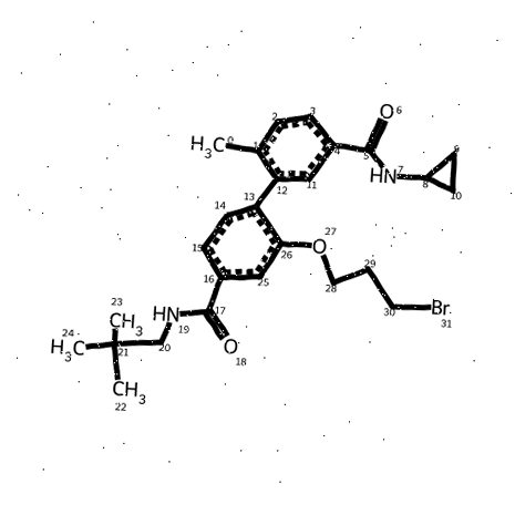 Cc1ccc(C(=O)NC2CC2)cc1-c1ccc(C(=O)NCC(C)(C)C)cc1OCCCBr